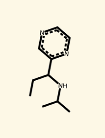 CCC(NC(C)C)c1cnccn1